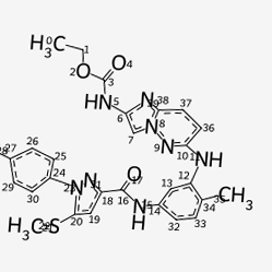 CCOC(=O)Nc1cn2nc(Nc3cc(NC(=O)c4cc(SC)n(-c5ccc(F)cc5)n4)ccc3C)ccc2n1